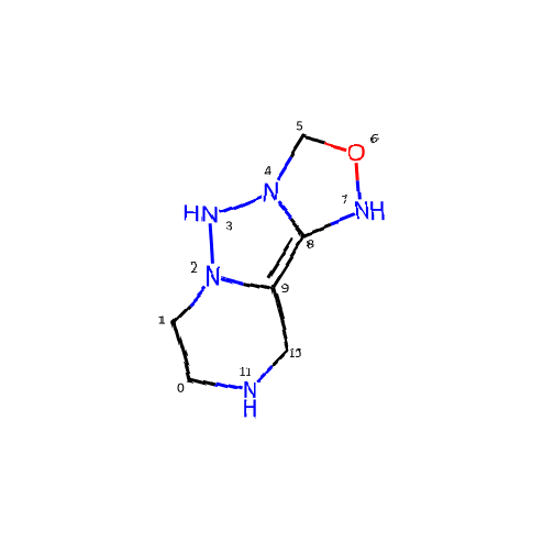 C1CN2NN3CONC3=C2CN1